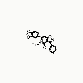 Cn1c(-c2ccc3c(c2)OCO3)cc2onc(-c3ccccc3)c2c1=O